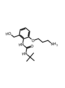 CC(C)(C)NC(=O)Nc1c(CO)cccc1OCCCN